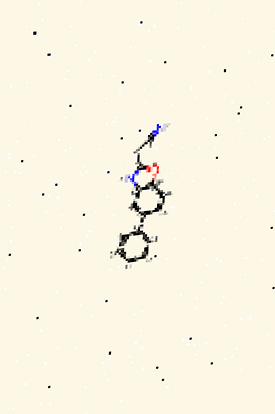 N#CCc1nc2cc(-c3ccccc3)ccc2o1